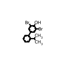 CC(C)c1ccccc1-c1cc(Br)c(O)c(Br)c1